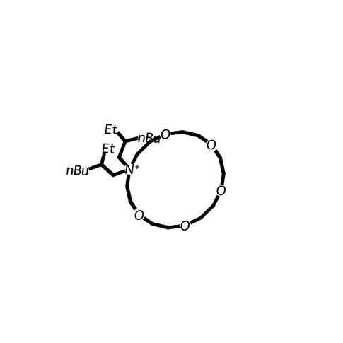 CCCCC(CC)C[N+]1(CC(CC)CCCC)CCOCCOCCOCCOCCOCC1